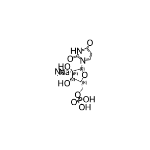 O=c1ccn([C@@H]2O[C@H](COP(=O)(O)O)[C@@H](O)[C@H]2O)c(=O)[nH]1.[Na].[Na]